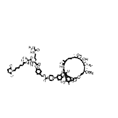 CO[C@H]1/C=C/O[C@@]2(C)Oc3c(C)c(O)c4c(=O)c(c5sc6cc(N7CCN(C(=O)OCc8ccc(NC(=O)[C@H](CCCNC(N)=O)NC(=O)[C@@H](NC(=O)CCCCCN9C(=O)C=CC9=O)C(C)C)cc8)CC7)ccc6nc-5c4c3C2=O)NC(=O)/C(C)=C\C=C\[C@H](C)[C@H](O)[C@@H](C)[C@@H](O)[C@@H](C)[C@H](OC(C)=O)[C@@H]1C